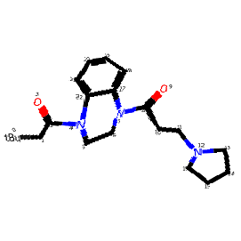 CC(C)(C)CC(=O)N1CCN(C(=O)CCN2CCCC2)c2ccccc21